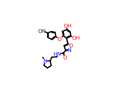 CN1CCCC1CCNC(=O)c1cc(-c2c(O)cc(O)cc2Oc2ccc(N=O)cc2)on1